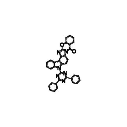 O=c1c2ccccc2oc2nc3c4c5ccccc5n(-c5nc(-c6ccccc6)nc(-c6ccccc6)n5)c4ccc3n12